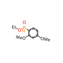 CCO[PH](=O)c1ccc(OC)cc1OC